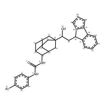 CC(=O)c1ccc(NC(=O)NC2C3CC4CC2CC(C(O)CC2c5ccccc5-c5cncn52)(C4)C3)cc1